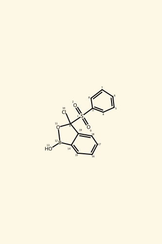 O=S(=O)(c1ccccc1)C1(Cl)OB(O)c2ccccc21